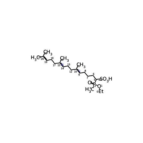 CCOP(C)(=O)C(CCC/C=C(\C)CC/C=C(\C)CCC=C(C)C)S(=O)(=O)O